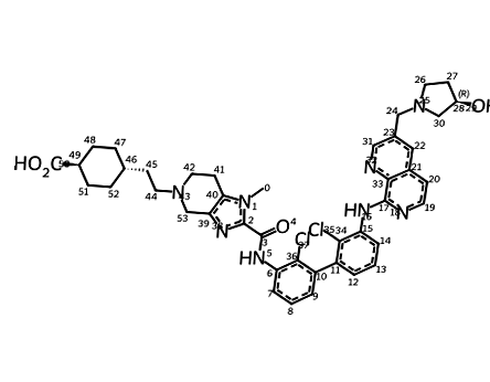 Cn1c(C(=O)Nc2cccc(-c3cccc(Nc4nccc5cc(CN6CC[C@@H](O)C6)cnc45)c3Cl)c2Cl)nc2c1CCN(CC[C@H]1CC[C@H](C(=O)O)CC1)C2